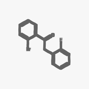 O=C(Cc1ccccc1F)c1ccccc1Br